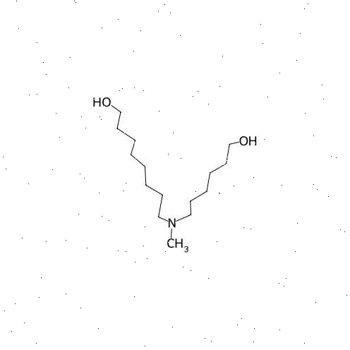 CN(CCCCCCO)CCCCCCCCO